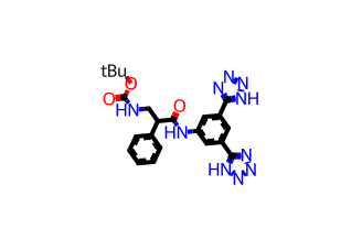 CC(C)(C)OC(=O)NCC(C(=O)Nc1cc(-c2nnn[nH]2)cc(-c2nnn[nH]2)c1)c1ccccc1